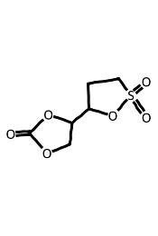 O=C1OCC(C2CCS(=O)(=O)O2)O1